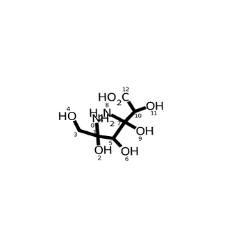 NC(O)(CO)C(O)C(N)(O)C(O)C(=O)O